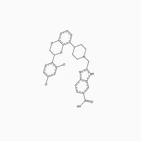 O=C(O)c1ccc2nc(CN3CCC(c4cccc5c4OC(c4ccc(Cl)cc4Cl)CO5)CC3)[nH]c2c1